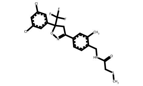 CSCC(=O)NCc1ccc(C2=NOC(c3cc(Cl)cc(Cl)c3)(C(F)(F)F)C2)cc1C